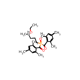 CCO[SiH](C)CCCP(=O)(C(=O)c1c(C)cc(C)cc1C)C(=O)c1c(C)cc(C)cc1C